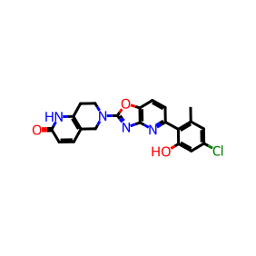 Cc1cc(Cl)cc(O)c1-c1ccc2oc(N3CCc4[nH]c(=O)ccc4C3)nc2n1